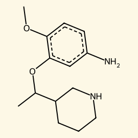 COc1ccc(N)cc1OC(C)C1CCCNC1